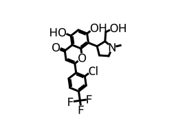 CN1CCC(c2c(O)cc(O)c3c(=O)cc(-c4ccc(C(F)(F)F)cc4Cl)oc23)C1CO